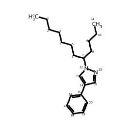 CCCCCCCC(CCCC)n1cc(-c2ccccc2)cn1